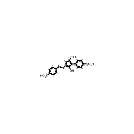 O=C(O)c1nn(N=Nc2ccc(S(=O)(=O)O)cc2)c(O)c1-c1ccc(S(=O)(=O)O)cc1